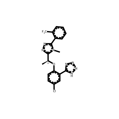 C[C@H](Oc1ccc(Cl)cc1-c1nnn[nH]1)c1nnc(-c2ccccc2C(F)(F)F)n1C